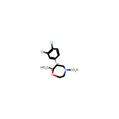 O=C(O)[C@@H]1OCCN(C(=O)O)C[C@H]1c1ccc(Cl)c(Cl)c1